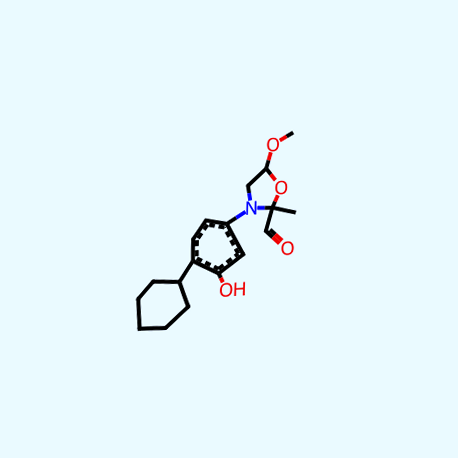 COC1CN(c2ccc(C3CCCCC3)c(O)c2)C(C)(C=O)O1